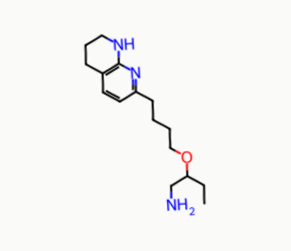 CCC(CN)OCCCCc1ccc2c(n1)NCCC2